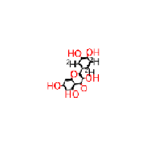 [2H]c1c([2H])c(-c2oc3cc(O)cc(O)c3c(=O)c2O)c([2H])c(O)c1O